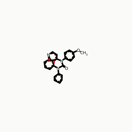 COc1ccc(N(C(=O)N(c2ccccc2)c2ccccc2)c2ccncc2)cc1